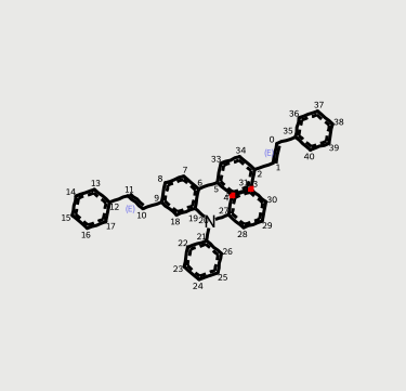 C(=C\c1ccc(-c2ccc(/C=C/c3ccccc3)cc2N(c2ccccc2)c2ccccc2)cc1)/c1ccccc1